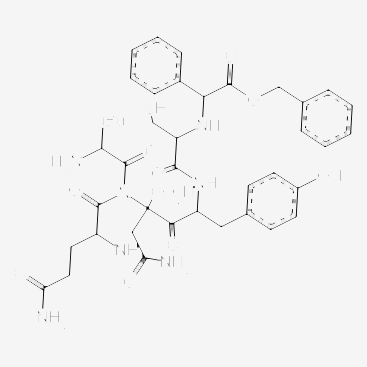 CCC(C)C(N)C(=O)N(C(=O)C(N)CCC(N)=O)C(CC(N)=O)(C(=O)O)C(=O)C(Cc1ccc(O)cc1)NC(=O)C(CS)NC(C(=O)OCc1ccccc1)c1ccccc1